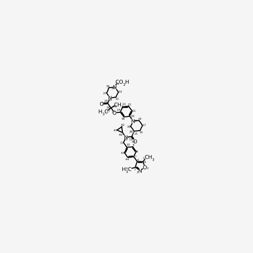 Cc1noc(C)c1-c1ccc(CN(C(=O)[C@@H]2CCCN(c3cccc(OC(C)(C)C(=O)N4CCN(C(=O)O)CC4)c3)C2)C2CC2)cc1